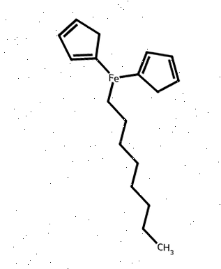 CCCCCCC[CH2][Fe]([C]1=CC=CC1)[C]1=CC=CC1